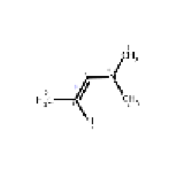 C/C(S)=C/N(C)C